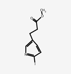 COC(=O)CCc1ccc(I)nc1